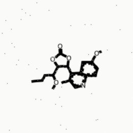 CCCC(OC)C1OC(=O)OC1c1c(C)cnc2ccc(OC)cc12